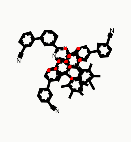 Cc1c(C)c(C)c2c(c1C)Cc1c(C)c(C)c(C)c(C)c1N2c1cc(-c2cccc(C#N)c2)ccc1-c1nc(-c2cccc(-c3cccc(C#N)c3)c2)nc(-c2ccc(-c3cccc(C#N)c3)cc2N2c3c(C)c(C)c(C)c(C)c3Cc3c(C)c(C)c(C)c(C)c32)n1